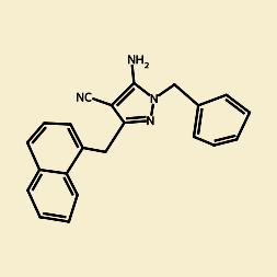 N#Cc1c(Cc2cccc3ccccc23)nn(Cc2ccccc2)c1N